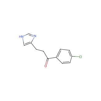 O=C(CCc1c[nH]cn1)c1ccc(Cl)cc1